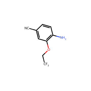 N#Cc1ccc(N)c(OCC(F)(F)F)c1